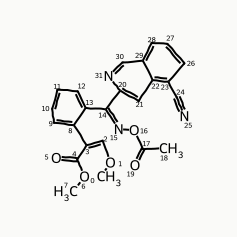 COC=C(C(=O)OC)c1ccccc1C(=NOC(C)=O)c1cc2c(C#N)cccc2cn1